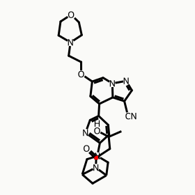 CC(O)CC(=O)N1C2CC1CN(c1ccc(-c3cc(OCCN4CCOCC4)cn4ncc(C#N)c34)cn1)C2